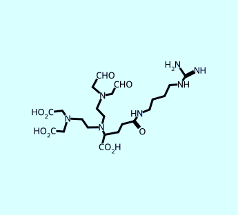 N=C(N)NCCCCNC(=O)CCC(C(=O)O)N(CCN(CC=O)CC=O)CCN(CC(=O)O)CC(=O)O